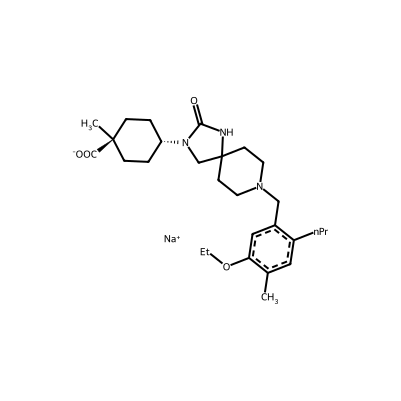 CCCc1cc(C)c(OCC)cc1CN1CCC2(CC1)CN([C@H]1CC[C@](C)(C(=O)[O-])CC1)C(=O)N2.[Na+]